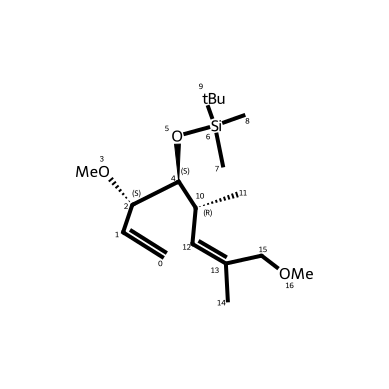 C=C[C@H](OC)[C@@H](O[Si](C)(C)C(C)(C)C)[C@H](C)C=C(C)COC